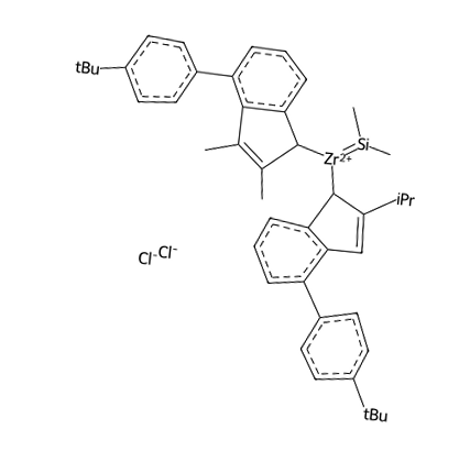 CC1=C(C)[CH]([Zr+2]([CH]2C(C(C)C)=Cc3c(-c4ccc(C(C)(C)C)cc4)cccc32)=[Si](C)C)c2cccc(-c3ccc(C(C)(C)C)cc3)c21.[Cl-].[Cl-]